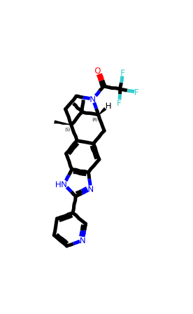 CC1(C)[C@H]2Cc3cc4nc(-c5cccnc5)[nH]c4cc3[C@]1(C)CCN2C(=O)C(F)(F)F